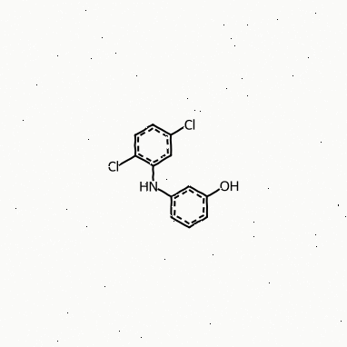 Oc1cccc(Nc2cc(Cl)ccc2Cl)c1